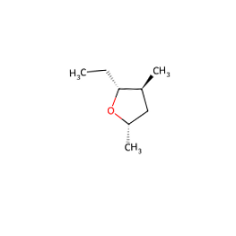 CC[C@H]1O[C@@H](C)C[C@@H]1C